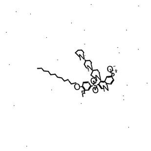 CCCCCCCCCCCCOc1ccc(S(=O)(=O)c2cnc3ccc([S+](C)[O-])cc3c2N2CCC(N3CCC(N4CCCCC4)CC3)CC2)cc1F